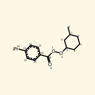 CC1CCC[C](OOC(=O)c2ccc(C(C)C)cc2)C1